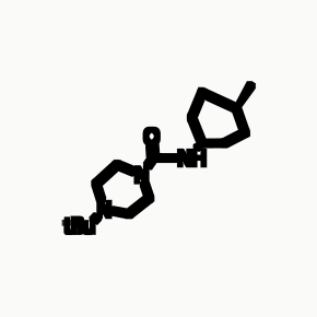 CC(C)(C)N1CCN(C(=O)N[C@H]2CC[C@H](C)CC2)CC1